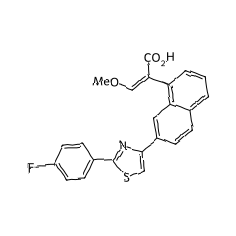 COC=C(C(=O)O)c1cccc2ccc(-c3csc(-c4ccc(F)cc4)n3)cc12